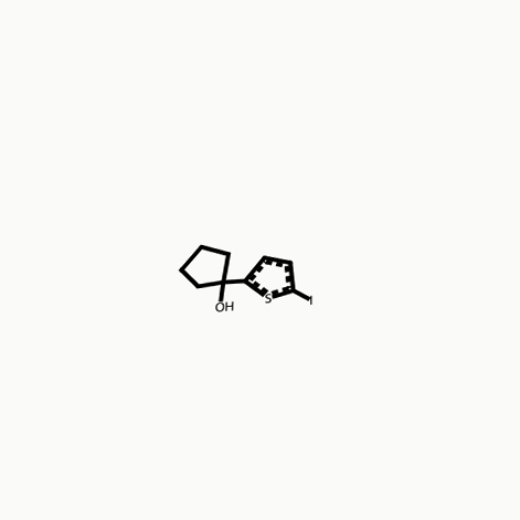 OC1(c2ccc(I)s2)CCCC1